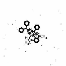 CC(C)c1cccc(C(C)C)c1NC(=O)C(c1ccccc1)n1nnc(C(c2ccccc2)c2ccccc2)n1